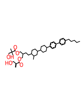 C=C(CO)C(=O)OCC(CCC1CCC(C2CCC(c3ccc(-c4ccc(CCCCC)cc4)cc3)CC2)CC1C)COC(=O)C(C)(C)CO